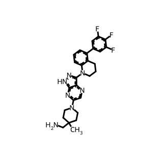 CC1(CN)CCN(c2cnc3c(N4CCCc5c(-c6cc(F)c(F)c(F)c6)cccc54)n[nH]c3n2)CC1